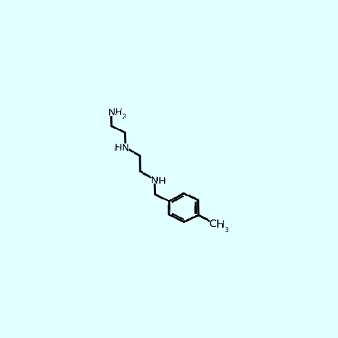 Cc1ccc(CNCCNCCN)cc1